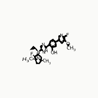 COc1cc(-c2ccc(-c3ncc(N(C4CC4)[C@H]4C[C@]5(C)CC[C@@](C)(N5)[C@H]4F)nn3)c(O)c2)cnc1F